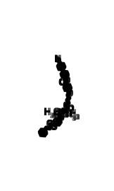 CCC(C)(CC(C)C(=O)OCCCCOc1ccc(C(=O)Oc2ccc(-c3ccc(C#N)cc3)cc2)cc1)C(=O)Oc1ccc(OC(=O)/C=C/c2ccccc2)cc1